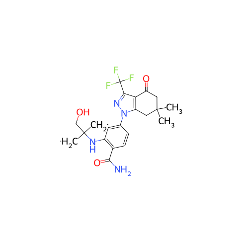 [CH2]C([CH2])(CO)Nc1cc(-n2nc(C(F)(F)F)c3c2CC(C)(C)CC3=O)ccc1C(N)=O